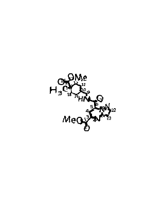 COC(=O)c1cc(C(=O)NCC2=CCC(C)(C(=O)OC)CC2)n2nccc2n1